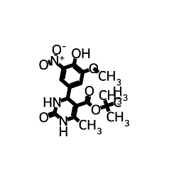 COc1cc(C2NC(=O)NC(C)=C2C(=O)OC(C)(C)C)cc([N+](=O)[O-])c1O